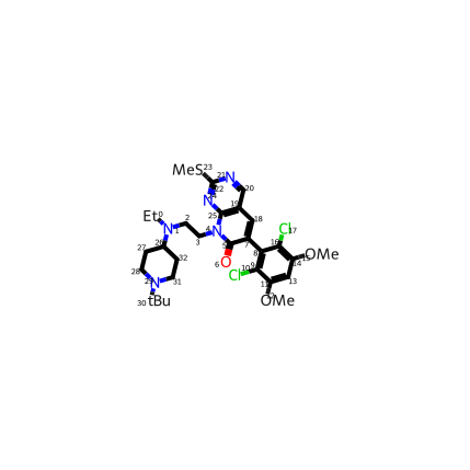 CCN(CCn1c(=O)c(-c2c(Cl)c(OC)cc(OC)c2Cl)cc2cnc(SC)nc21)C1CCN(C(C)(C)C)CC1